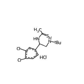 CC(=S)NC(CNC(C)(C)C)c1ccc(Cl)c(Cl)c1.Cl